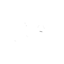 Cl.Cl.NCC(O)CN1CCC(Cc2ccc(F)cc2)CC1